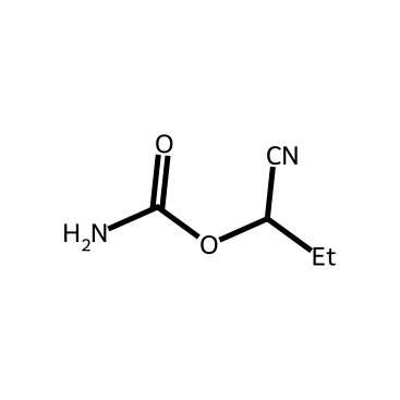 CCC(C#N)OC(N)=O